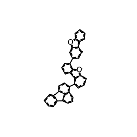 c1ccc2c(c1)-c1cccc3c(-c4cccc5oc6c(-c7ccc8c(c7)oc7ccccc78)cccc6c45)ccc-2c13